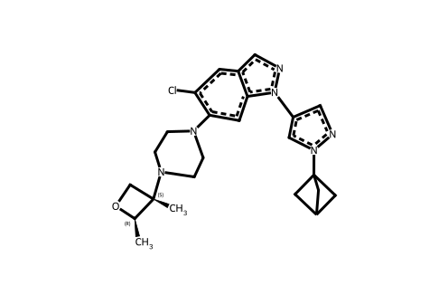 C[C@H]1OC[C@]1(C)N1CCN(c2cc3c(cnn3-c3cnn(C45CC(C4)C5)c3)cc2Cl)CC1